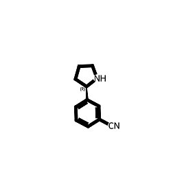 N#Cc1cccc([C@H]2CCCN2)c1